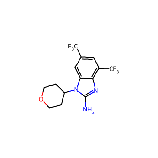 Nc1nc2c(C(F)(F)F)cc(C(F)(F)F)cc2n1C1CCOCC1